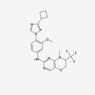 COc1cc(Nc2ncc3c(n2)N(C)C(C(F)(F)F)CO3)ccc1-n1cnc(C2CCC2)n1